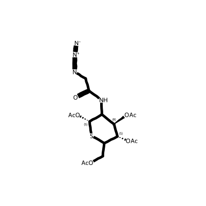 CC(=O)OCC1S[C@H](OC(C)=O)C(NC(=O)CN=[N+]=[N-])[C@@H](OC(C)=O)[C@@H]1OC(C)=O